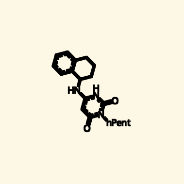 CCCCCn1c(=O)cc(NC2CCCc3ccccc32)[nH]c1=O